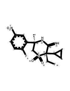 C[C@@]1(c2cc([N+](=O)[O-])ccc2F)CS(=O)(=O)[C@@](CF)(C2CC2)C(=N)N1